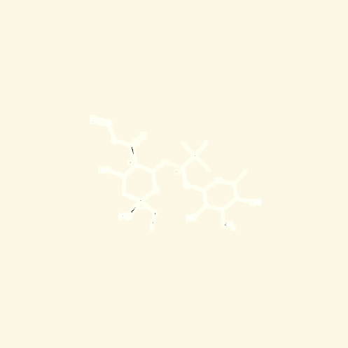 CC[C@]1(O)CC(O)[C@@H](C(=O)OP=O)C(C[C@@H](OC2OC(C)C(O)C(N)C2O)C(C)(C)C)O1